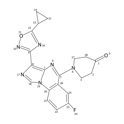 O=C1CCN(c2nc3c(-c4noc(C5CC5)n4)ncn3c3ccc(F)cc23)CC1